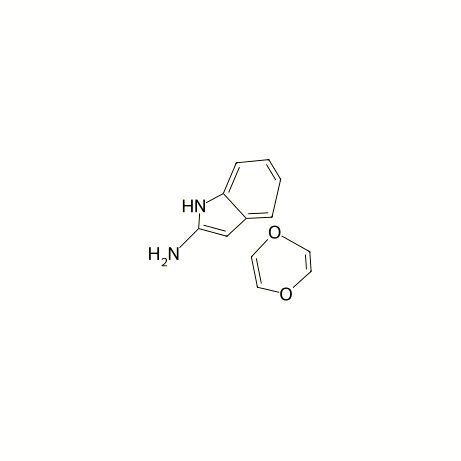 C1=COC=CO1.Nc1cc2ccccc2[nH]1